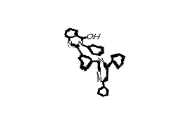 OC1c2ccccc2N=C(c2cccc(-c3nc(-c4ccccc4)cc(-c4ccccc4)n3)c2)N1c1ccccc1